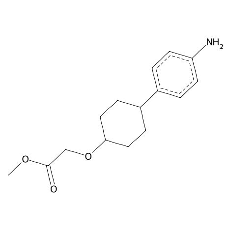 COC(=O)COC1CCC(c2ccc(N)cc2)CC1